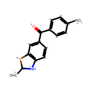 O=CC1Nc2ccc(C(=O)c3ccc([N+](=O)[O-])cc3)cc2S1